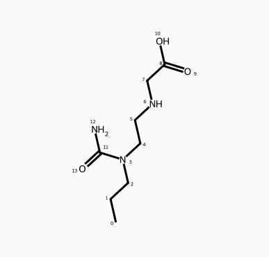 CCCN(CCNCC(=O)O)C(N)=O